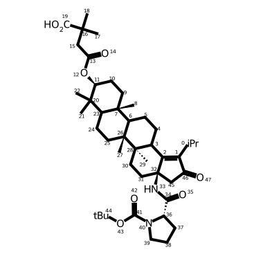 CC(C)C1=C2C3CCC4[C@@]5(C)CC[C@H](OC(=O)CC(C)(C)C(=O)O)C(C)(C)C5CC[C@@]4(C)[C@]3(C)CC[C@@]2(NC(=O)[C@@H]2CCCN2C(=O)OC(C)(C)C)CC1=O